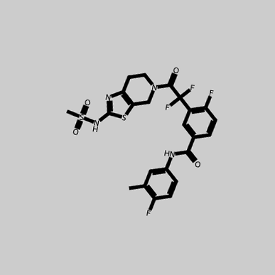 Cc1cc(NC(=O)c2ccc(F)c(C(F)(F)C(=O)N3CCc4nc(NS(C)(=O)=O)sc4C3)c2)ccc1F